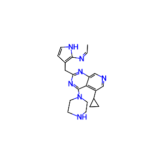 C/C=N\c1[nH]ccc1Cc1nc(N2CCNCC2)c2c(C3CC3)cncc2n1